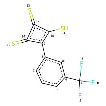 FC(F)(F)c1cccc(-c2c(S)c(=S)c2=S)c1